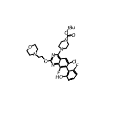 CC(C)(C)OC(=O)N1CCN(c2nc(OCCN3CCOCC3)nc3c(F)c(-c4c(O)cccc4F)c(Cl)cc23)CC1